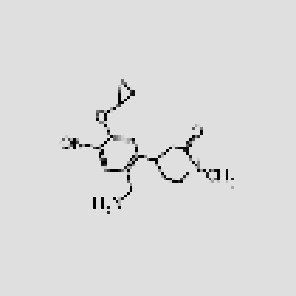 CN1CCC(c2cc(OC3CC3)c(N=O)cc2CN)CC1=O